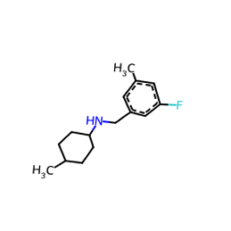 Cc1cc(F)cc(CNC2CCC(C)CC2)c1